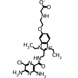 CCn1c(CNC(=O)c2nc(Cl)c(N)nc2N)[n+](CC)c2ccc(OCCNCC(=O)[O-])cc21